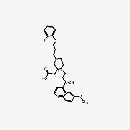 COc1ccc2nccc([C@H](O)CC[C@@H]3CCN(CCCSc4ccccc4F)C[C@@H]3CC(=O)O)c2c1